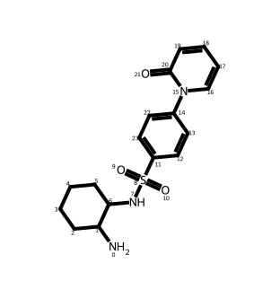 NC1CCCCC1NS(=O)(=O)c1ccc(-n2ccccc2=O)cc1